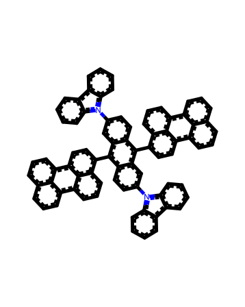 c1cc2cccc3c4ccc(-c5c6ccc(-n7c8ccccc8c8ccccc87)cc6c(-c6ccc7c8cccc9cccc(c%10cccc6c%107)c98)c6ccc(-n7c8ccccc8c8ccccc87)cc56)c5cccc(c(c1)c23)c54